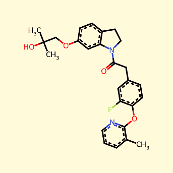 Cc1cccnc1Oc1ccc(CC(=O)N2CCc3ccc(OCC(C)(C)O)cc32)cc1F